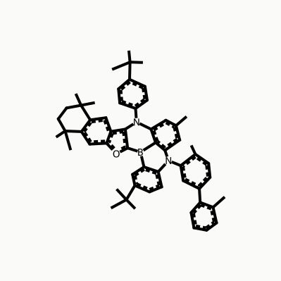 Cc1cc2c3c(c1)N(c1ccc(C(C)(C)C)cc1)c1c(oc4cc5c(cc14)C(C)(C)CCC5(C)C)B3c1cc(C(C)(C)C)ccc1N2c1cc(-c2ccccc2C)ccc1C